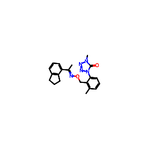 CC(=NOCc1c(C)cccc1-n1nnn(C)c1=O)c1cccc2c1CCC2